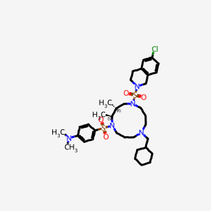 C[C@@H]1CN(S(=O)(=O)N2CCc3cc(Cl)ccc3C2)CCCN(CC2CCCCC2)CCCN(S(=O)(=O)c2ccc(N(C)C)cc2)[C@H]1C